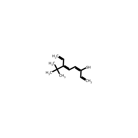 C=C/C(S)=C\C=C(/C=C)C(C)(C)C